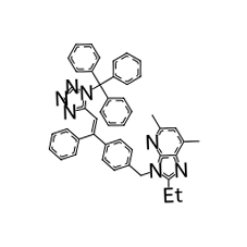 CCc1nc2c(C)cc(C)nc2n1Cc1ccc(C(=Cc2nnnn2C(c2ccccc2)(c2ccccc2)c2ccccc2)c2ccccc2)cc1